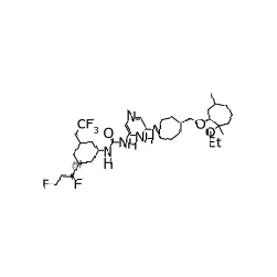 CCOC1(C)CCCC(C)CC1OCC1CCCN(C2C=NC=C(NC(=O)NC3CC(CC(F)(F)F)C[C@H](C(F)CCF)C3)N2)CC1